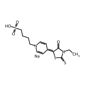 CCN1C(=O)C(=C2C=CN(CCCCS(=O)(=O)O)C=C2)SC1=S.[Na]